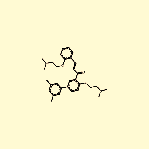 Cc1cc(C)cc(-c2ccc(OCCN(C)C)c(C(=O)C=Cc3ccccc3OCCN(C)C)c2)c1